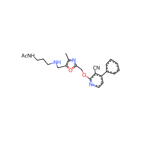 CC(=O)NCCCNCc1oc(COc2nccc(-c3ccccc3)c2C#N)nc1C